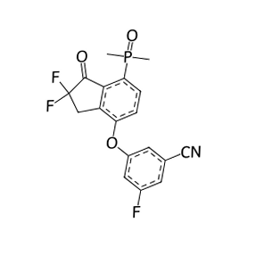 CP(C)(=O)c1ccc(Oc2cc(F)cc(C#N)c2)c2c1C(=O)C(F)(F)C2